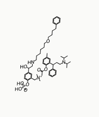 Cc1ccc(OC(=O)C[N+](C)(C)Cc2cc(C(O)CNCCCCCCOCCCCc3ccccc3)ccc2OP(=O)(O)O)c(C(CCN(C(C)C)C(C)C)c2ccccc2)c1